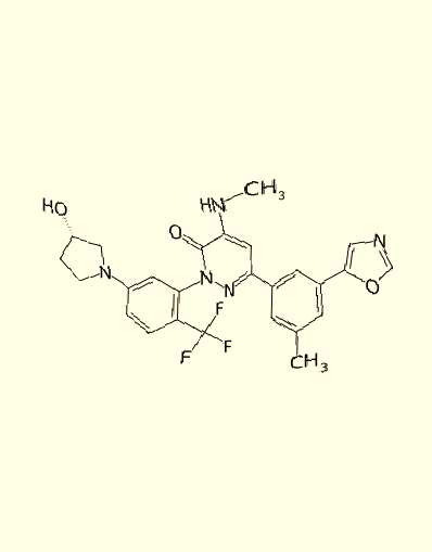 CNc1cc(-c2cc(C)cc(-c3cnco3)c2)nn(-c2cc(N3CC[C@H](O)C3)ccc2C(F)(F)F)c1=O